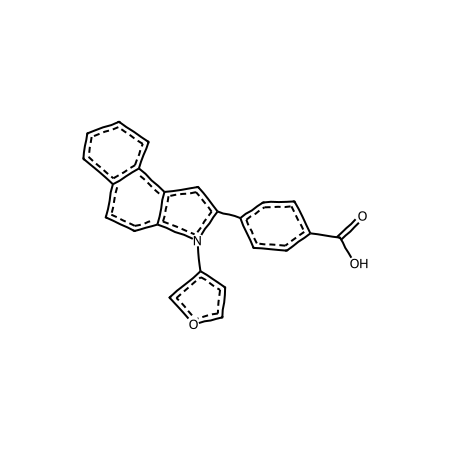 O=C(O)c1ccc(-c2cc3c4ccccc4ccc3n2-c2ccoc2)cc1